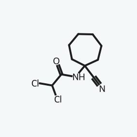 N#CC1(NC(=O)C(Cl)Cl)CCCCCC1